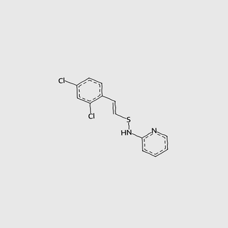 Clc1ccc(/C=C/SNc2ccccn2)c(Cl)c1